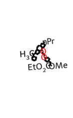 CCCc1ccc2c(c1)C=Cc1cc(C(C)c3ccccc3)ccc1C2OCCOc1ccc(CC(OC)C(=O)OCC)cc1